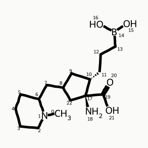 CN1CCCCC1CC1C[C@H](CCCB(O)O)[C@](N)(C(=O)O)C1